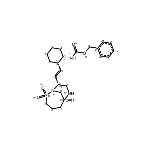 O=C(N[C@H]1CCCC[C@@H]1/C=C/[C@H]1CN[C@@H]2CCCS(=O)(=O)N1C2)OCc1ccccc1